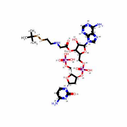 CC(C)(C)SSCCNCC(=O)OC1C(COP(=O)(O)O[C@H]2C[C@H](n3ccc(N)nc3=O)O[C@@H]2COP(=O)(O)O)OC(n2cnc3c(N)ncnc32)C1O